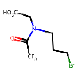 O=C(O)CN(CCCBr)C(=O)C(F)(F)F